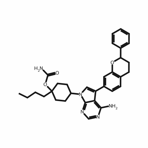 CCCCC1(OC(N)=O)CCC(n2cc(-c3ccc4c(c3)OC(c3ccccc3)CC4)c3c(N)ncnc32)CC1